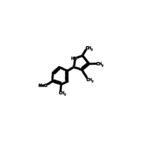 COc1ccc(N2NC(C)C(C)=C2C)cc1C